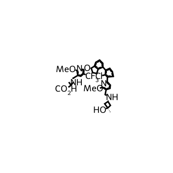 COc1nc(-c2cccc(-c3cccc4c3CC[C@@H]4Oc3nc(OC)c(CNC(C)(C)C(=O)O)cc3C(F)(F)F)c2Cl)ccc1CN[C@H]1C[C@](C)(O)C1